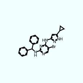 Brc1cnc(NC(c2ccccc2)c2ccccc2)nc1Nc1cc(C2CC2)[nH]n1